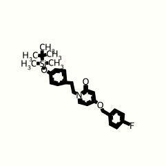 CC(C)(C)[Si](C)(C)Oc1ccc(CCn2ccc(OCc3ccc(F)cc3)cc2=O)cc1